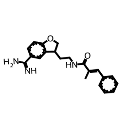 C/C(=C\c1ccccc1)C(=O)NCCC1COc2ccc(C(=N)N)cc21